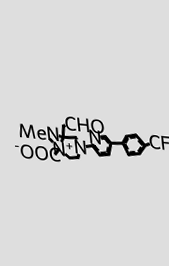 CNC1(CC=O)CN(c2ccc(-c3ccc(C(F)(F)F)cc3)cn2)CC[N+]1(C)C(=O)[O-]